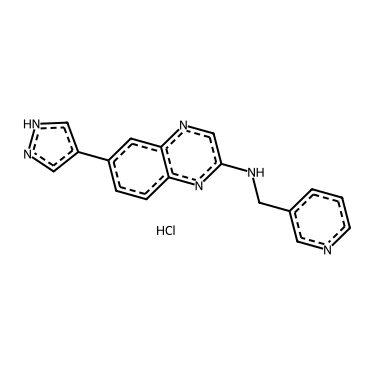 Cl.c1cncc(CNc2cnc3cc(-c4cn[nH]c4)ccc3n2)c1